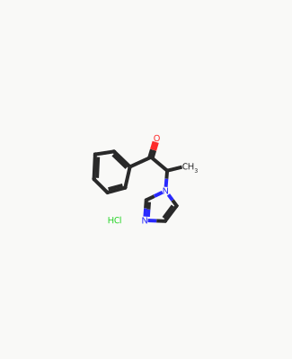 CC(C(=O)c1ccccc1)n1ccnc1.Cl